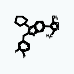 Cc1noc(C)c1-c1ccc2c(c1)nc(Cc1ccc(F)c(F)c1)n2C1CCCCC1